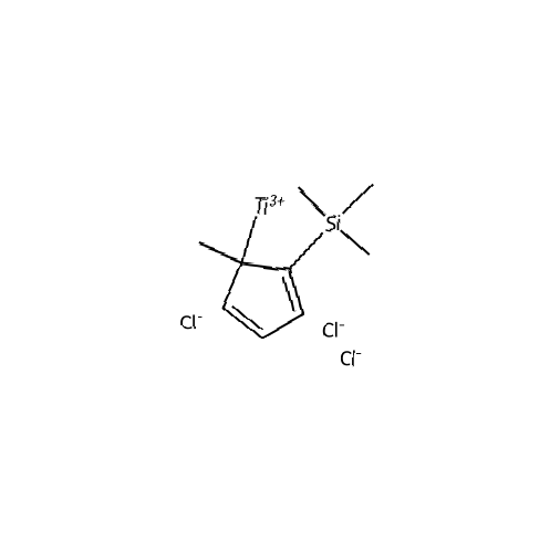 C[C]1([Ti+3])C=CC=C1[Si](C)(C)C.[Cl-].[Cl-].[Cl-]